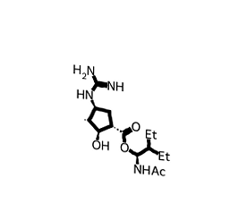 CCC(CC)[C@@H](NC(C)=O)OC(=O)[C@H]1C[C@H](NC(=N)N)[CH][C@@H]1O